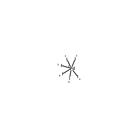 [I][Pd]([I])([I])([I])([I])[I]